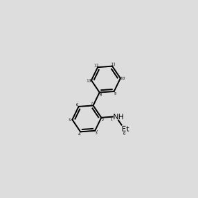 CCNc1[c]cccc1-c1ccccc1